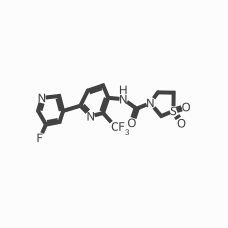 O=C(Nc1ccc(-c2cncc(F)c2)nc1C(F)(F)F)N1CCS(=O)(=O)C1